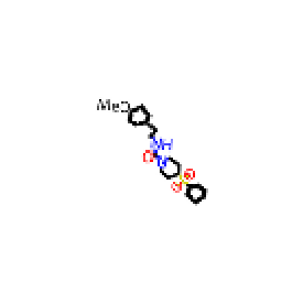 COc1ccc(CCNC(=O)N2CCC(S(=O)(=O)c3ccccc3)CC2)cc1